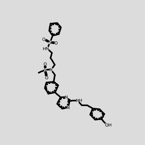 CS(=O)(=O)N(CCCNS(=O)(=O)c1ccccc1)Cc1cccc(-c2ccnc(NCCc3ccc(O)cc3)n2)c1